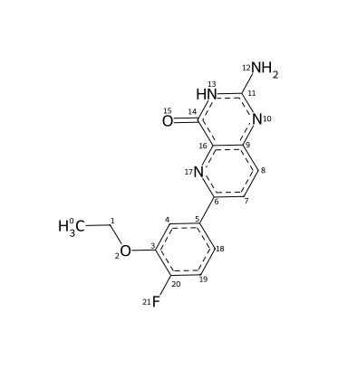 CCOc1cc(-c2ccc3nc(N)[nH]c(=O)c3n2)ccc1F